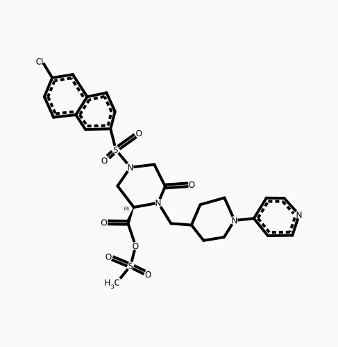 CS(=O)(=O)OC(=O)[C@H]1CN(S(=O)(=O)c2ccc3cc(Cl)ccc3c2)CC(=O)N1CC1CCN(c2ccncc2)CC1